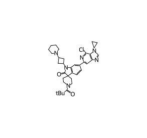 CC(C)(C)C(=O)N1CCC2(CC1)C(=O)N(C1CC(N3CCCCC3)C1)c1cc(-c3cc4ncn(C5CC5)c4c(Cl)n3)ccc12